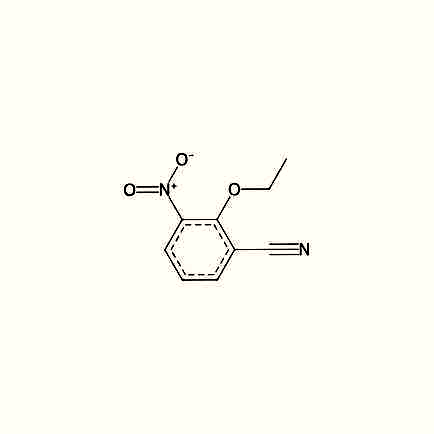 CCOc1c(C#N)cccc1[N+](=O)[O-]